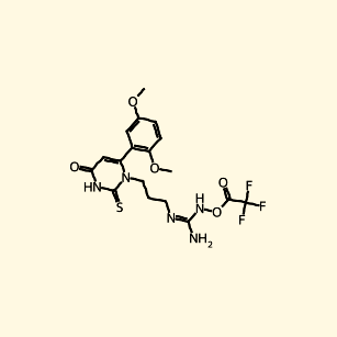 COc1ccc(OC)c(-c2cc(=O)[nH]c(=S)n2CCCN=C(N)NOC(=O)C(F)(F)F)c1